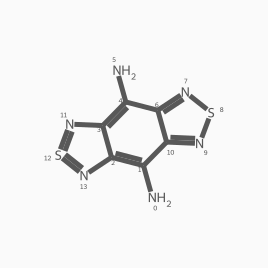 Nc1c2c(c(N)c3nsnc13)N=S=N2